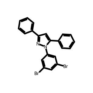 Brc1cc(Br)cc(-n2nc(-c3ccccc3)cc2-c2ccccc2)c1